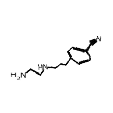 N#Cc1ccc(CCCNCCN)cc1